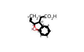 C=CC1Oc2ccccc2C1CC(=O)O